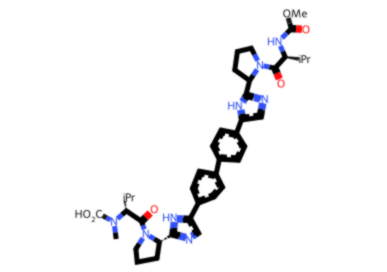 COC(=O)N[C@H](C(=O)N1CCCC1c1ncc(-c2ccc(-c3ccc(-c4cnc([C@@H]5CCCN5C(=O)[C@@H](C(C)C)N(C)C(=O)O)[nH]4)cc3)cc2)[nH]1)C(C)C